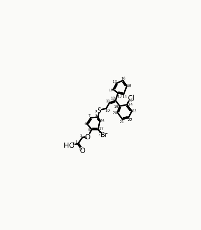 O=C(O)COc1ccc(SC/C=C(/c2ccccc2)c2ccccc2Cl)cc1Br